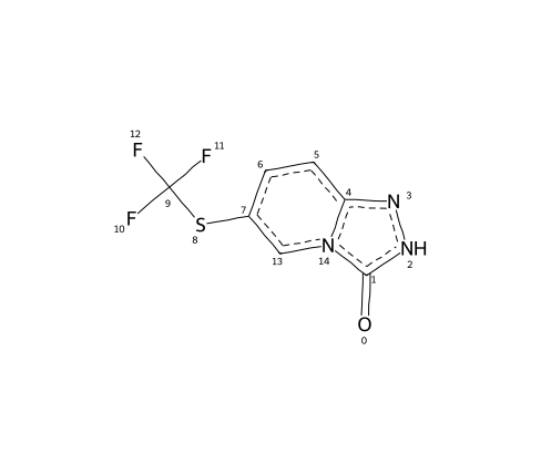 O=c1[nH]nc2ccc(SC(F)(F)F)cn12